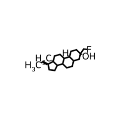 CC=C1CCC2C3CCC4C[C@@](O)(CF)CC[C@@H]4C3CC[C@]12C